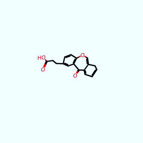 O=C(O)CCc1ccc2c(c1)C(=O)C1=CC=CCC1=CO2